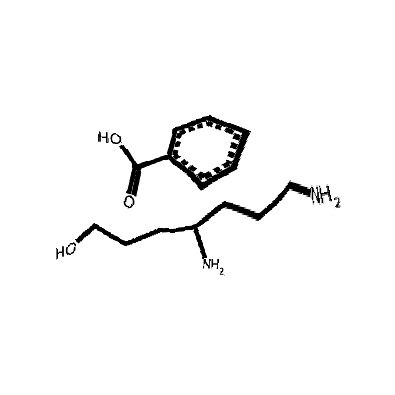 NCCCC(N)CCCO.O=C(O)c1ccccc1